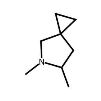 CC1CC2(CC2)CN1C